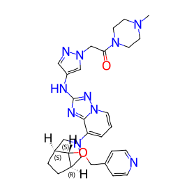 CN1CCN(C(=O)Cn2cc(Nc3nc4c(N5C[C@H]6CC[C@@H](C5)[C@@H]6OCc5ccncc5)cccn4n3)cn2)CC1